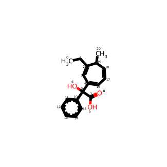 CCC1=CC(C(O)(C(=O)O)c2ccccc2)=CC=CC1C